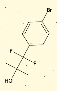 CC(C)(O)C(F)(F)c1ccc(Br)cc1